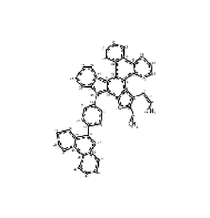 C=Cc1oc2c(c1/C=C\C)c1c3ccccc3c3ccccc3c1c1c3ccccc3n(-c3ccc(-c4cc5ccccc5c5ccccc45)cc3)c21